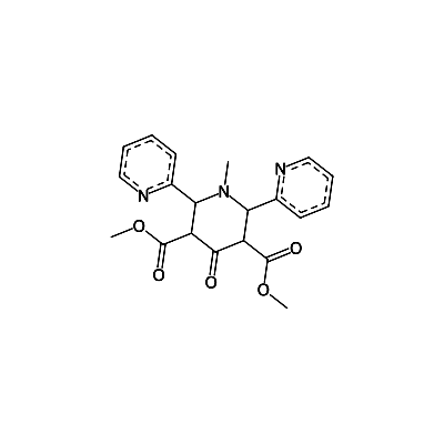 COC(=O)C1C(=O)C(C(=O)OC)C(c2ccccn2)N(C)C1c1ccccn1